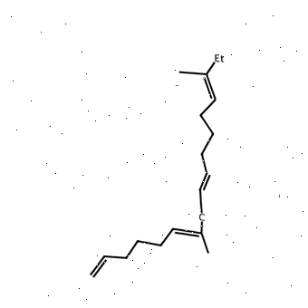 C=CCCCC=C(C)CC=CCCCC=C(C)CC